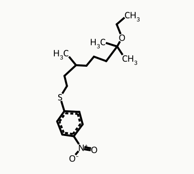 CCOC(C)(C)CCCC(C)CCSc1ccc([N+](=O)[O-])cc1